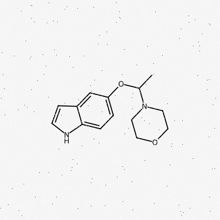 CC(Oc1ccc2[nH]ccc2c1)N1CCOCC1